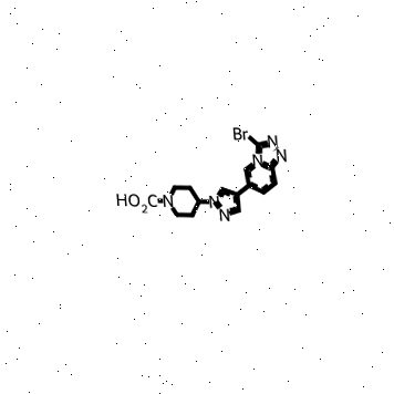 O=C(O)N1CCC(n2cc(-c3ccc4nnc(Br)n4c3)cn2)CC1